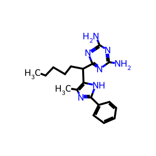 CCCCCC(c1nc(N)nc(N)n1)c1[nH]c(-c2ccccc2)nc1C